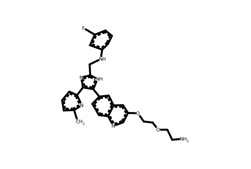 Cc1cccc(-c2nc(CNc3cccc(F)c3)[nH]c2-c2ccc3ncc(OCCOCCN)cc3c2)n1